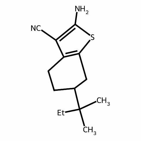 CCC(C)(C)C1CCc2c(sc(N)c2C#N)C1